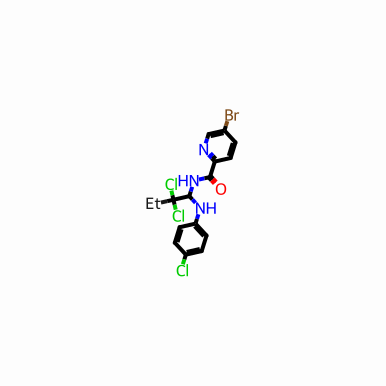 CCC(Cl)(Cl)C(NC(=O)c1ccc(Br)cn1)Nc1ccc(Cl)cc1